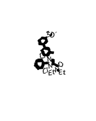 CCN(CC)C(=O)c1cn(-c2ccc(-c3cccc([S+](C)[O-])c3)cc2C)c(-c2c(Cl)cccc2Cl)n1